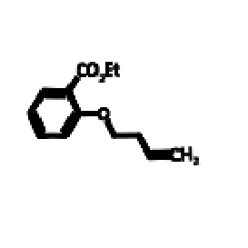 C=CCCOc1ccccc1C(=O)OCC